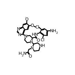 COc1cc2ncnc(N3CCN(C4CNCCN4CC(N)=O)C(C(=O)Nc4c(Cl)cc(N)cc4Cl)C3)c2cc1OC